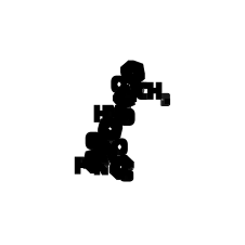 C[C@H](c1ccccc1)N1C[C@H](C(=O)NC2CCC(n3c(=O)c4cc(F)cnc4n(C4CCSCC4)c3=O)CC2)CC1=O